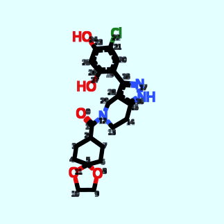 O=C(C1CCC2(CC1)OCCO2)N1CCc2[nH]nc(-c3cc(Cl)c(O)cc3O)c2C1